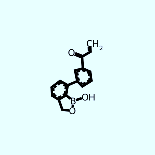 C=CC(=O)c1cccc(-c2cccc3c2B(O)OC3)c1